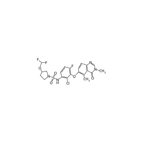 Cc1c(Oc2c(F)ccc(NS(=O)(=O)N3CCC(OC(F)F)C3)c2Cl)ccc2ncn(C)c(=O)c12